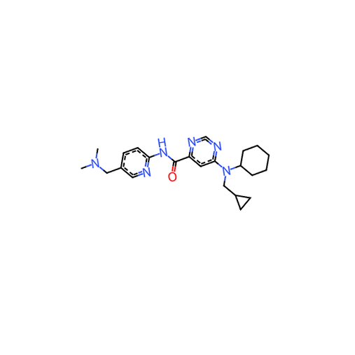 CN(C)Cc1ccc(NC(=O)c2cc(N(CC3CC3)C3CCCCC3)ncn2)nc1